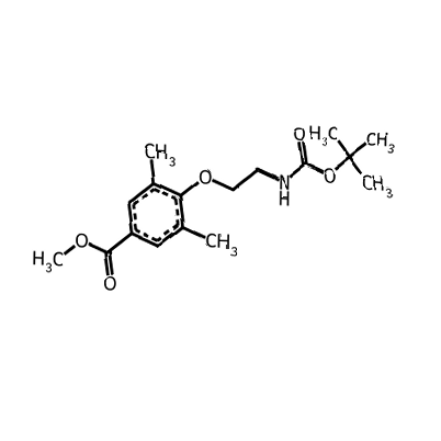 COC(=O)c1cc(C)c(OCCNC(=O)OC(C)(C)C)c(C)c1